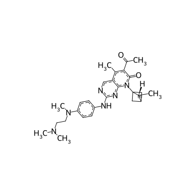 CC(=O)c1c(C)c2cnc(Nc3ccc(N(C)CCN(C)C)cc3)nc2n(C23CC(C2)[C@H]3C)c1=O